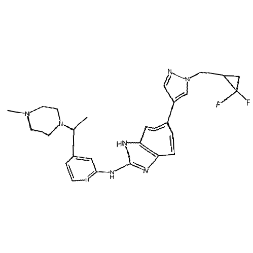 CC(c1ccnc(Nc2nc3ccc(-c4cnn(CC5CC5(F)F)c4)cc3[nH]2)c1)N1CCN(C)CC1